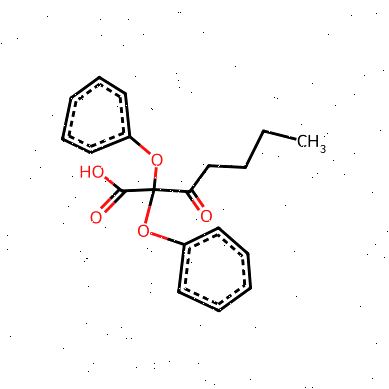 CCCCC(=O)C(Oc1ccccc1)(Oc1ccccc1)C(=O)O